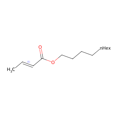 C/C=C/C(=O)OCCCCCCCCCC